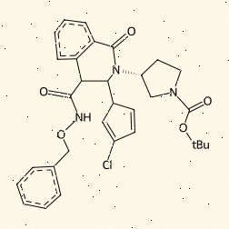 CC(C)(C)OC(=O)N1CC[C@@H](N2C(=O)c3ccccc3C(C(=O)NOCc3ccccc3)C2C2C=CC(Cl)=C2)C1